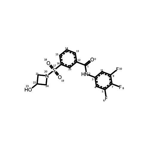 O=C(Nc1cc(F)c(F)c(F)c1)c1cccc(S(=O)(=O)N2CC(O)C2)c1